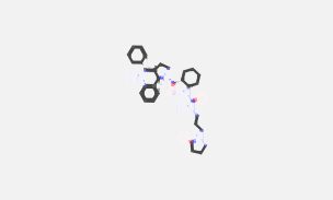 O=C(NCCCN1CCCC1=O)N[C@@H]1CCCC[C@@H]1C(=O)N1CC[C@@H]2[C@H](C3C=CC=CC3)Nc3ccccc3[C@@H]21